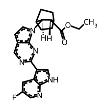 CCOC(=O)[C@H]1C2CCC(CC2)[C@@H]1n1ccc2cnc(-c3c[nH]c4ncc(F)cc34)nc21